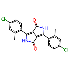 Cc1cc(Cl)ccc1C1=C2C(=O)NC(c3ccc(Cl)cc3C)=C2C(=O)N1